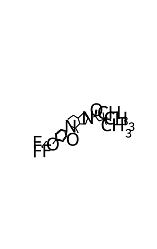 CC(C)(C)CC(=O)N1CC2CCN(c3ccc(OCC(F)(F)F)cc3)C(C=O)C2C1